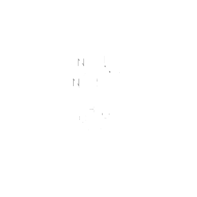 CC(C)(C)Nc1cc(B2OC(C)(C)C(C)(C)O2)cn2ccnc12